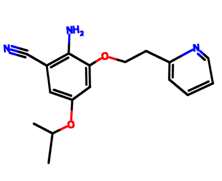 CC(C)Oc1cc(C#N)c(N)c(OCCc2ccccn2)c1